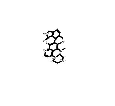 COc1c(Cl)c(-c2c(C)ccc3c2C(=O)NC3)c(F)c2ncnc(N3CCNCC3)c12